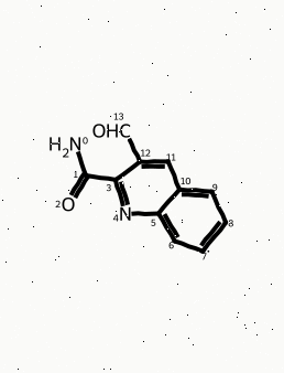 NC(=O)c1nc2c[c]ccc2cc1C=O